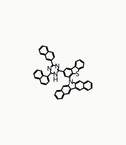 c1ccc2cc(C3=NC(c4cccc5ccccc45)NC(c4cc(-n5c6cc7ccccc7cc6c6cc7ccccc7cc65)c5sc6ccccc6c5c4)=N3)ccc2c1